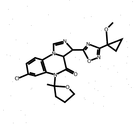 COC1(c2noc(C3N=CN4c5ccc(Cl)cc5N(C5(C)CCCO5)C(=O)C34)n2)CC1